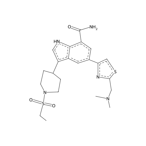 CCS(=O)(=O)N1CCC(c2c[nH]c3c(C(N)=O)cc(-c4csc(CN(C)C)n4)cc23)CC1